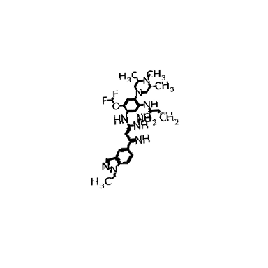 C=CC(=O)Nc1cc(N/C(=C/C(=N)c2ccc3c(cnn3CC)c2)NN)c(OC(F)F)cc1N1C[C@@H](C)N(C)[C@@H](C)C1